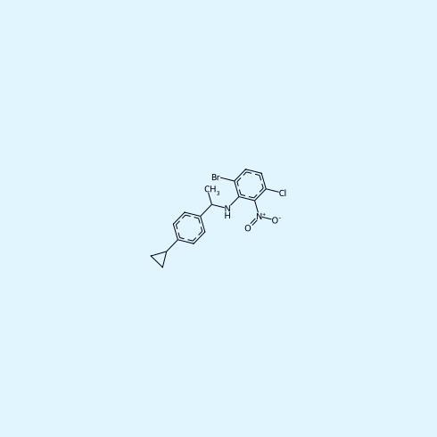 CC(Nc1c(Br)ccc(Cl)c1[N+](=O)[O-])c1ccc(C2CC2)cc1